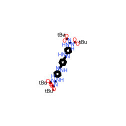 CC(C)(C)OC(=O)/N=C(\NC(=O)OC(C)(C)C)Nc1ccc2nc(-c3ccc(-c4nc5ccc(N/C(=N\C(=O)OC(C)(C)C)NC(=O)OC(C)(C)C)cc5[nH]4)cc3)[nH]c2c1